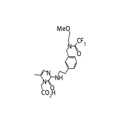 COCCN(Cc1cccc(CCNc2ncc(C)n(CC(=O)O)c2=O)c1)C(=O)C(F)(F)F